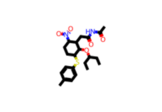 CCC(CC)OC1C(Sc2ccc(C)cc2)CCC([N+](=O)[O-])C1CC(=O)NC(C)=O